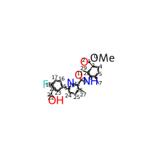 COC(=O)c1ccc(C)c(NC(=O)c2nc(-c3ccc(F)c(CO)c3)ccc2C)c1C